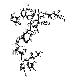 Cc1ncsc1-c1ccc([C@H](C)NC(=O)[C@@H]2C[C@@H](OC(=O)CC(C)(C)N)CN2C(=O)C(NC(=O)c2cc3cc(O[C@H]4C[C@@H](NC(=O)C[C@@H]5N=C(c6ccc(Cl)cc6)c6c(sc(C)c6C)-n6c(C)nnc65)C4)ccc3o2)C(C)(C)C)cc1